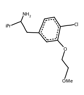 COCCOc1cc(CC(N)C(C)C)ccc1Cl